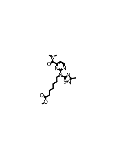 COC(=O)CCCCCCN(c1nccc(C(=O)N(C)C)n1)c1nc(C)ns1